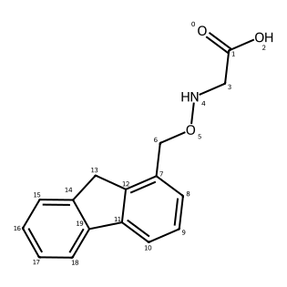 O=C(O)CNOCc1cccc2c1Cc1ccccc1-2